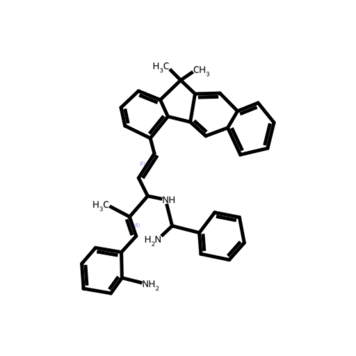 C/C(=C\c1ccccc1N)C(/C=C/c1cccc2c1-c1cc3ccccc3cc1C2(C)C)NC(N)c1ccccc1